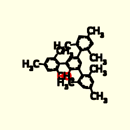 Cc1cc(C)c(-c2cc(-c3c(C)cc(C)cc3C)c(O)c(-c3c(C)cc(C)cc3C)c2)c(C)c1